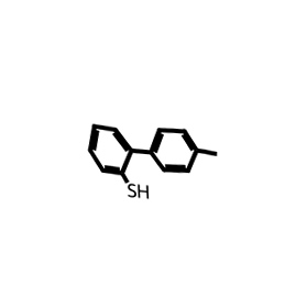 Cc1ccc(-c2ccccc2S)cc1